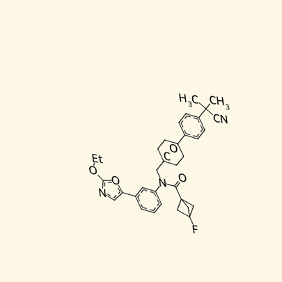 CCOc1ncc(-c2cccc(N(CC34CCC(c5ccc(C(C)(C)C#N)cc5)(CC3)OC4)C(=O)C34CC(F)(C3)C4)c2)o1